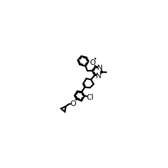 COc1nc(C)nc(C2CC=C(c3ccc(OCC4CC4)cc3Cl)CC2)c1Cc1ccccc1